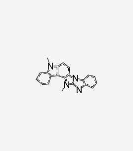 Cn1c2ccccc2c2c1ccc1c2n(C)c2nc3ccccc3n12